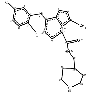 Cc1ccc2c(Nc3cc(Cl)ccc3F)ncc(C(=O)NCC3CCOCC3)n12